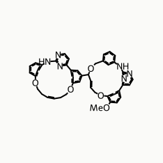 COc1ccc2cc1OC/C=C/C(c1cc3cc(c1)-c1ccnc(n1)Nc1cccc(c1)OCC/C=C\CCO3)OCc1cccc(c1)Nc1nccc-2n1